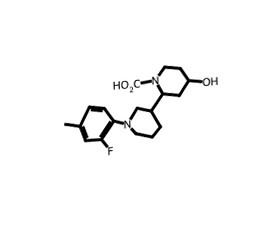 Cc1ccc(N2CCCC(C3CC(O)CCN3C(=O)O)C2)c(F)c1